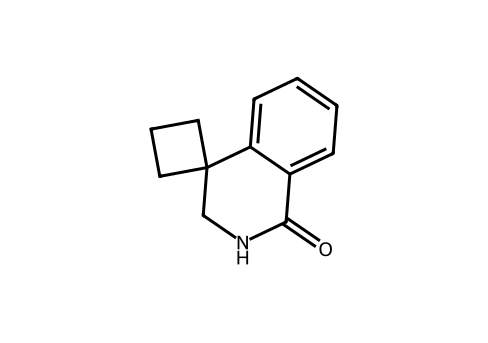 O=C1NCC2(CCC2)c2ccccc21